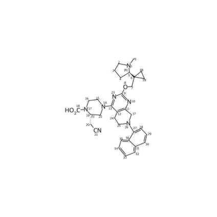 CN1CCC[C@@H]1C1(COc2nc3c(c(N4CCN(C(=O)O)[C@@H](CC#N)C4)n2)CCN(c2cccc4ccccc24)C3)CC1